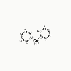 I.c1ccc([Si]c2ccccc2)cc1